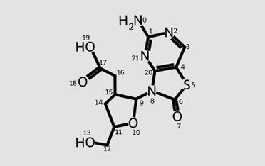 Nc1ncc2sc(=O)n(C3OC(CO)CC3CC(=O)O)c2n1